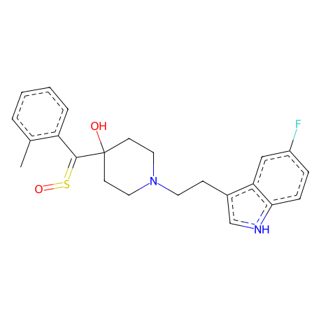 Cc1ccccc1C(=S=O)C1(O)CCN(CCc2c[nH]c3ccc(F)cc23)CC1